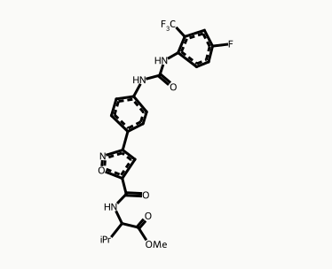 COC(=O)C(NC(=O)c1cc(-c2ccc(NC(=O)Nc3ccc(F)cc3C(F)(F)F)cc2)no1)C(C)C